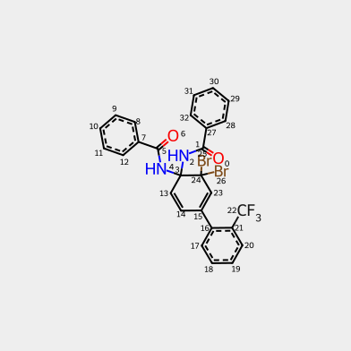 O=C(NC1(NC(=O)c2ccccc2)C=CC(c2ccccc2C(F)(F)F)=CC1(Br)Br)c1ccccc1